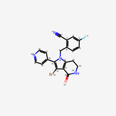 N#Cc1cc(F)ccc1Cn1c2c(c(Br)c1-c1ccncc1)C(=O)NCC2